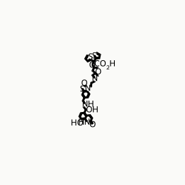 O=C(O)C(OC1COC2(C1)CN(CCCn1c(=O)sc3cc(CNCC(O)c4ccc(O)c5[nH]c(=O)ccc45)ccc31)C2)(c1cccs1)c1cccs1